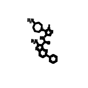 Cn1ncc(NC(=O)c2c(N)sc3ccc(-c4ccccc4)nc23)c1N1CCCC(N)CC1